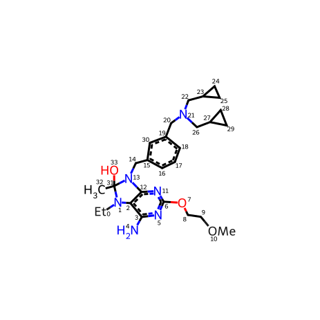 CCN1c2c(N)nc(OCCOC)nc2N(Cc2cccc(CN(CC3CC3)CC3CC3)c2)C1(C)O